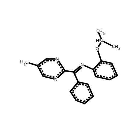 Cc1cnc(C(=Nc2ccccc2O[SiH](C)C)c2ccccc2)nc1